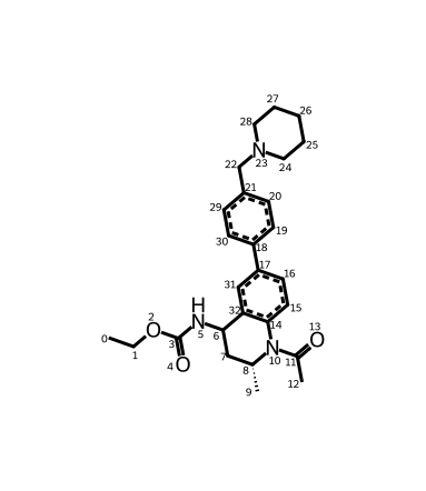 CCOC(=O)NC1C[C@@H](C)N(C(C)=O)c2ccc(-c3ccc(CN4CCCCC4)cc3)cc21